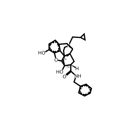 O=C(NCc1ccccc1)[C@H]1CC23CCC1(O)C1Oc4c(O)ccc5c4C12CCN(CC1CC1)C3C5